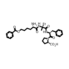 CC[C@@](C)(NC(=O)[C@@H](N)CCCCOC(=O)c1ccccc1)C(=O)N[C@@H](Cc1ccccc1)C(=O)N1CCC[C@@H]1C(=O)O